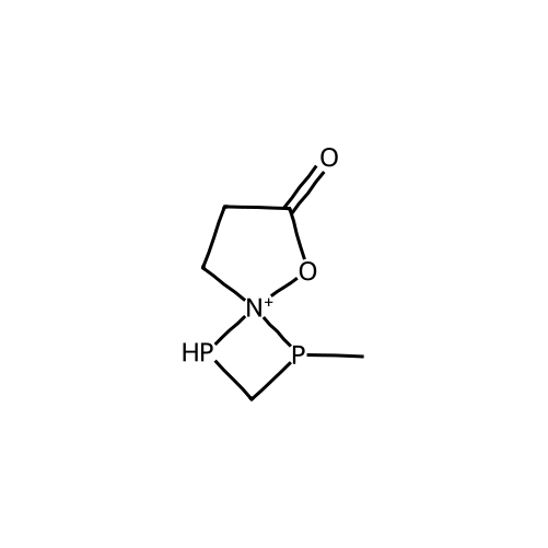 CP1CP[N+]12CCC(=O)O2